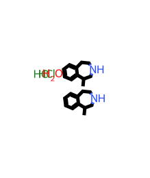 CC1CNCCc2ccccc21.CC1CNCCc2ccccc21.Cl.Cl.O